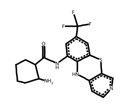 NC1CCCCC1C(=O)Nc1cc(C(F)(F)F)cc2c1Nc1ccncc1S2